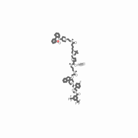 CN(CCN1CCC(N(C(=O)O)c2ccccc2-c2ccccc2)CC1)C(=O)CCCCCN(Cc1ccc(C(=O)N(C)CCCN(C)C(=O)CO[C@H]2Cc3ccccc3C23CCN(CC[C@]2(c4ccc(F)cc4)CN(C(=O)c4cc(C(F)(F)F)cc(C(F)(F)F)c4)CO2)CC3)s1)CC(C)(C)C.Cl.Cl.Cl